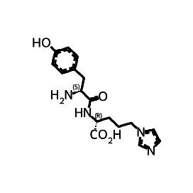 N[C@@H](Cc1ccc(O)cc1)C(=O)N[C@H](CCCn1ccnc1)C(=O)O